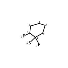 FC1CCCCC1(F)[S]